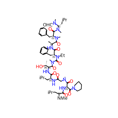 CCN(C(=O)N(C)C(=O)[C@@H](NC(=O)[C@H](CC(C)C)NC(=O)CN(C)C(=O)[C@H](NC(=O)[C@H](CC(C)C)NC)C(=O)N1CCCCC1)[C@@H](C)O)[C@@H](Cc1ccccc1)C(=O)N[C@@H](C)C(=O)N(C)[C@@H](Cc1ccccc1)C(=O)N(C)[C@@H](CC(C)C)N(C)C=O